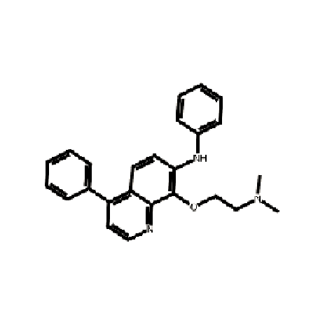 CN(C)CCOc1c(Nc2ccccc2)ccc2c(-c3ccccc3)ccnc12